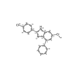 COc1cc(-c2ccccc2)c2nc(-c3ccc(Cl)cc3)[nH]c2c1